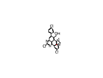 Cn1cncc1-c1c(CO)c(-c2ccc(Cl)cc2)cc2nc(Cl)nc(-c3cccc(Cl)c3)c12